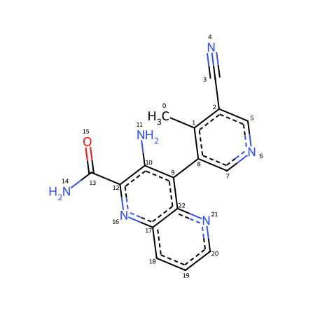 Cc1c(C#N)cncc1-c1c(N)c(C(N)=O)nc2cccnc12